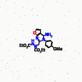 CCOC(=O)NN(CC1=Nc2occc2C(N)N1c1ccc(OC)cc1)C(=O)OCC